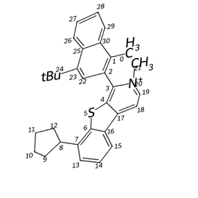 Cc1c(-c2c3sc4c(C5CCCC5)cccc4c3cc[n+]2C)cc(C(C)(C)C)c2ccccc12